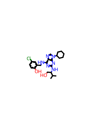 CC(C)C(CO)Nc1nc(NCc2cc(Cl)ccc2O)c2ncn(C3CCCCC3)c2n1